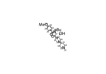 CCCCN(CC(=O)N1CCN(C2CCN(C)CC2)CC1)C(=O)c1ccc(OC)cc1.Cl